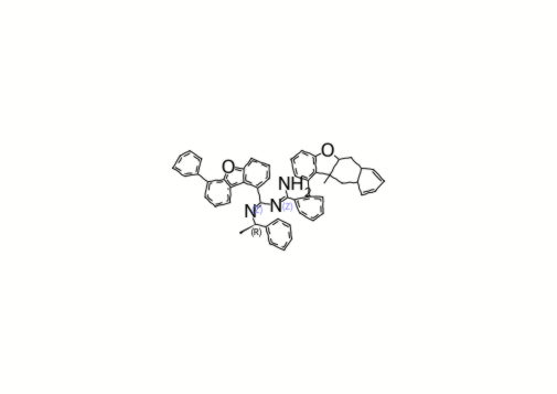 C[C@@H](/N=C(\N=C(/N)c1ccccc1-c1cccc2c1C1(C)CC3C=CC=CC3CC1O2)c1cccc2oc3c(-c4ccccc4)cccc3c12)c1ccccc1